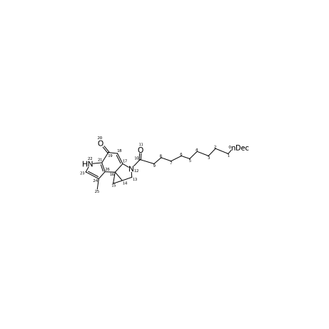 CCCCCCCCCCCCCCCCCCCC(=O)N1CC2CC23C1=CC(=O)c1[nH]cc(C)c13